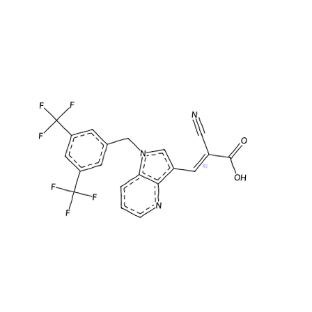 N#C/C(=C\c1cn(Cc2cc(C(F)(F)F)cc(C(F)(F)F)c2)c2cccnc12)C(=O)O